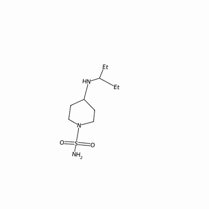 CCC(CC)NC1CCN(S(N)(=O)=O)CC1